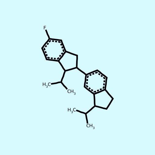 CC(C)C1CCc2ccc(C3Cc4cc(F)ccc4C3C(C)C)cc21